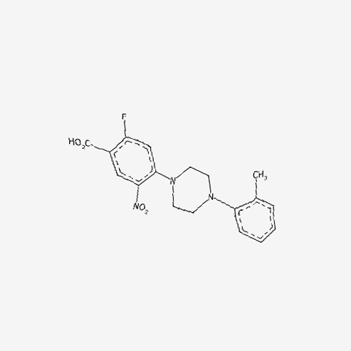 Cc1ccccc1N1CCN(c2cc(F)c(C(=O)O)cc2[N+](=O)[O-])CC1